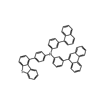 c1cc(-c2cccc3ccccc23)cc(N(c2ccc(-c3cccc4sc5ccccc5c34)cc2)c2cccc(-c3cc4ccccc4c4ccccc34)c2)c1